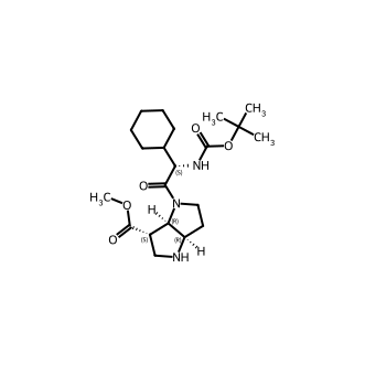 COC(=O)[C@H]1CN[C@@H]2CCN(C(=O)[C@@H](NC(=O)OC(C)(C)C)C3CCCCC3)[C@H]12